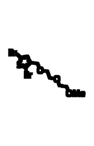 COCCOCCOCc1cc(Br)sc1Br